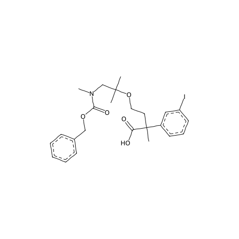 CN(CC(C)(C)OCCC(C)(C(=O)O)c1cccc(I)c1)C(=O)OCc1ccccc1